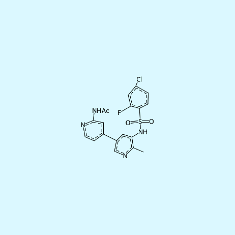 CC(=O)Nc1cc(-c2cnc(C)c(NS(=O)(=O)c3ccc(Cl)cc3F)c2)ccn1